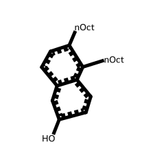 CCCCCCCCc1ccc2cc(O)ccc2c1CCCCCCCC